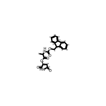 CC(NC(=O)OCC1c2ccccc2-c2ccccc21)C(=O)O[C@H]1CC(=O)NC1=O